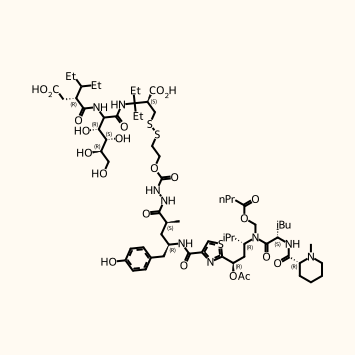 CCCC(=O)OCN(C(=O)[C@@H](NC(=O)[C@H]1CCCCN1C)C(C)CC)[C@H](C[C@@H](OC(C)=O)c1nc(C(=O)N[C@@H](Cc2ccc(O)cc2)C[C@H](C)C(=O)NNC(=O)OCCSSC[C@H](C(=O)O)C(CC)(CC)NC(=O)C(NC(=O)[C@H](CC(=O)O)C(CC)CC)[C@@H](O)[C@H](O)[C@H](O)CO)cs1)C(C)C